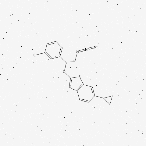 [N-]=[N+]=NC[C@H](Oc1cc2ccc(C3CC3)cc2s1)c1cccc(Cl)c1